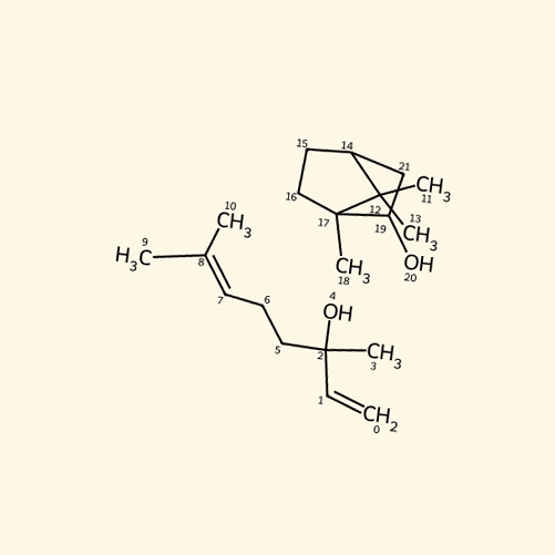 C=CC(C)(O)CCC=C(C)C.CC1(C)C2CCC1(C)C(O)C2